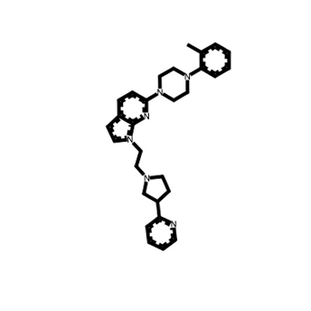 Cc1ccccc1N1CCN(c2ccc3ccn(CCN4CCC(c5ccccn5)C4)c3n2)CC1